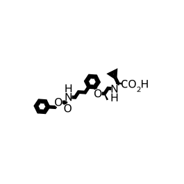 C[C@H](CN[C@H](C(=O)O)C1CC1)Oc1ccccc1CCCNC(=O)OCc1ccccc1